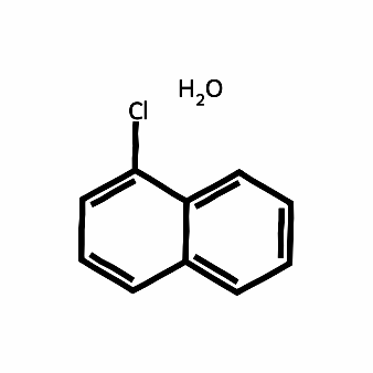 Clc1cccc2ccccc12.O